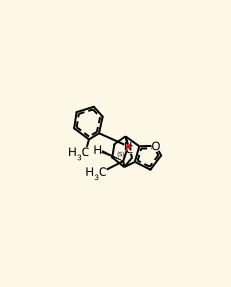 Cc1ccccc1N1[C@@H](C)C23CCC1(CC2)c1occc13